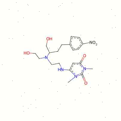 Cn1c(NCCN(CCO)C(CO)CCc2ccc([N+](=O)[O-])cc2)cc(=O)n(C)c1=O